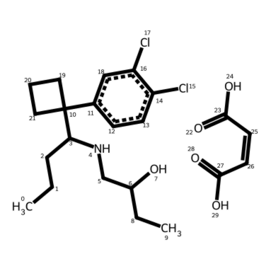 CCCC(NCC(O)CC)C1(c2ccc(Cl)c(Cl)c2)CCC1.O=C(O)/C=C\C(=O)O